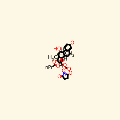 CCCC1O[C@@H]2C[C@H]3[C@@H]4CCC5=CC(=O)C=C[C@]5(C)[C@H]4[C@@H](O)C[C@]3(C)[C@]2(C(=O)COC(=O)ON2C(=O)CCC2=O)O1